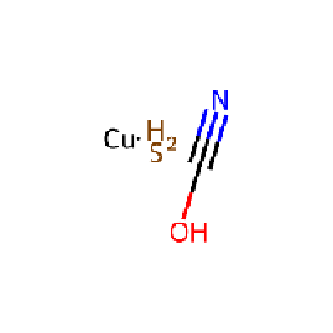 N#CO.S.[Cu]